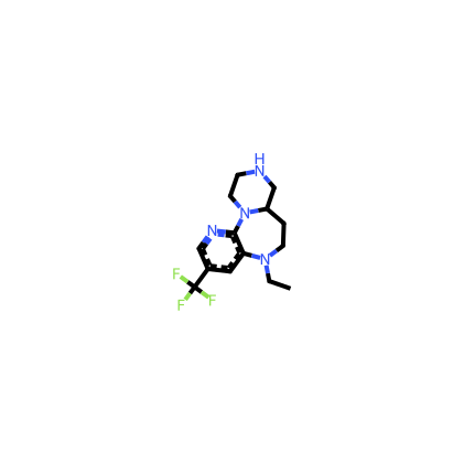 CCN1CCC2CNCCN2c2ncc(C(F)(F)F)cc21